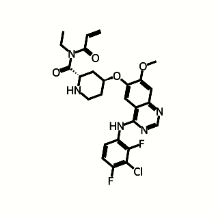 C=CC(=O)N(CC)C(=O)[C@@H]1C[C@@H](Oc2cc3c(Nc4ccc(F)c(Cl)c4F)ncnc3cc2OC)CCN1